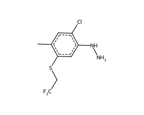 Cc1cc(Cl)c(NN)cc1SCC(F)(F)F